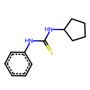 S=C(Nc1ccccc1)NC1CCCC1